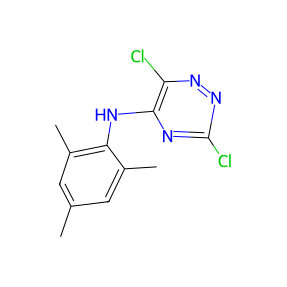 Cc1cc(C)c(Nc2nc(Cl)nnc2Cl)c(C)c1